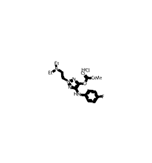 CCN(CC)CCn1nc(Nc2ccc(F)cc2)c(OC(=O)OC)n1.Cl